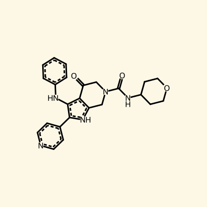 O=C1CN(C(=O)NC2CCOCC2)Cc2[nH]c(-c3ccncc3)c(Nc3ccccc3)c21